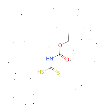 CCOC(=O)NC(=S)S